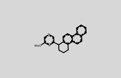 COc1cncc(C2CCCc3c2ccc2c3ccc3ccccc32)n1